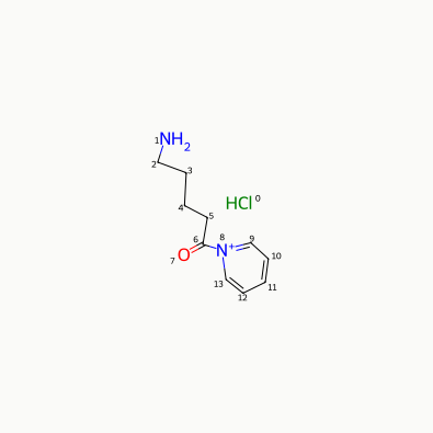 Cl.NCCCCC(=O)[n+]1ccccc1